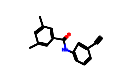 C#Cc1cccc(NC(=O)c2cc(C)cc(C)c2)c1